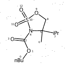 CCCCOC(=O)N1C(C)(C(C)C)COS1(=O)=O